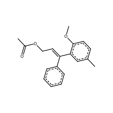 COc1ccc(C)cc1/C(=C/COC(C)=O)c1ccccc1